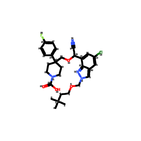 C[Si](C)(C)CCOCn1cc2cc(Cl)cc(C(C#N)OCC3(c4ccc(F)cc4)CCN(C(=O)O)CC3)c2n1